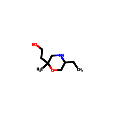 CCC1COC(C)(CCO)CN1